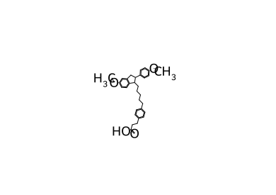 COc1ccc(C2Cc3cc(OC)ccc3C2CCCCCc2ccc(CCC(=O)O)cc2)cc1